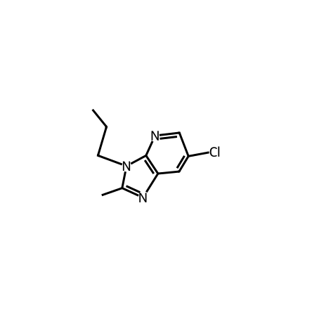 CCCn1c(C)nc2cc(Cl)cnc21